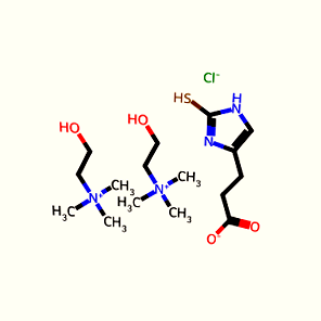 C[N+](C)(C)CCO.C[N+](C)(C)CCO.O=C([O-])CCc1c[nH]c(S)n1.[Cl-]